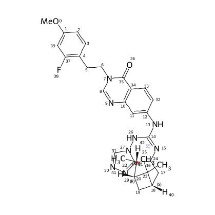 COc1ccc(CCn2cnc3cc(N/C(=N/C4C[C@@H]5C[C@H]([C@@H]4C)C5(C)C)Nn4cnnc4)ccc3c2=O)c(F)c1